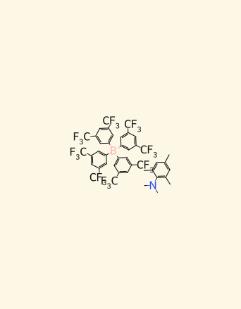 Cc1cc(C)c(N(C)C)c(C)c1.FC(F)(F)c1cc([B-](c2cc(C(F)(F)F)cc(C(F)(F)F)c2)(c2cc(C(F)(F)F)cc(C(F)(F)F)c2)c2cc(C(F)(F)F)cc(C(F)(F)F)c2)cc(C(F)(F)F)c1